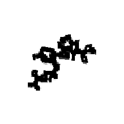 COC(=O)c1sc2ncnc(Nc3ccc(F)cc3OC(C)CNC(=O)C(C)C)c2c1C